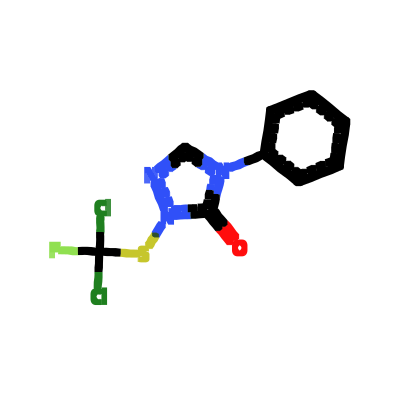 O=c1n(-c2ccccc2)cnn1SC(F)(Cl)Cl